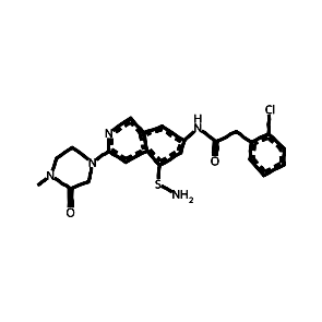 CN1CCN(c2cc3c(SN)cc(NC(=O)Cc4ccccc4Cl)cc3cn2)CC1=O